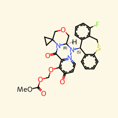 COC(=O)OCOc1c2n(ccc1=O)N([C@@H]1c3ccccc3SCc3c(F)cccc31)[C@@H]1COCC3(CC3)N1C2=O